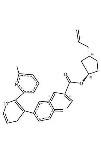 C=CC[C@@H]1CC[C@@H](OC(=O)C(/C=c2/cc(C3=C(c4cccc(C)n4)NC=CC3)ccc2=C)=C/C)C1